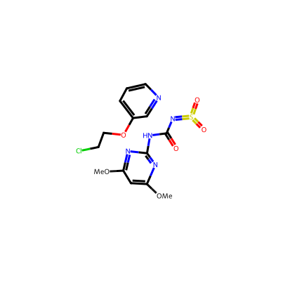 COc1cc(OC)nc(NC(=O)N=S(=O)=O)n1.ClCCOc1cccnc1